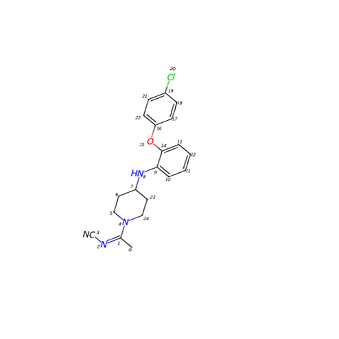 C/C(=N/C#N)N1CCC(Nc2ccccc2Oc2ccc(Cl)cc2)CC1